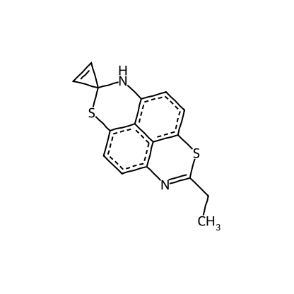 CCC1=Nc2ccc3c4c(ccc(c24)S1)NC1(C=C1)S3